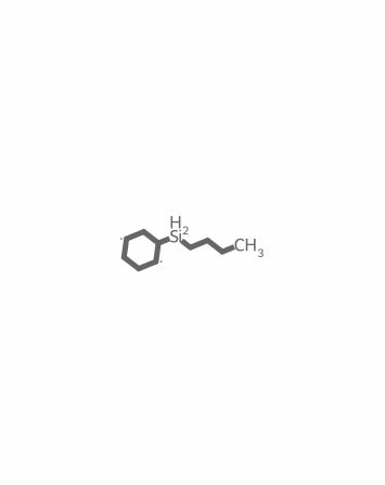 CCCC[SiH2]C1[CH]CC[CH]C1